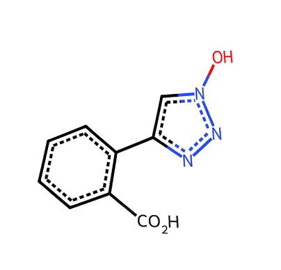 O=C(O)c1ccccc1-c1cn(O)nn1